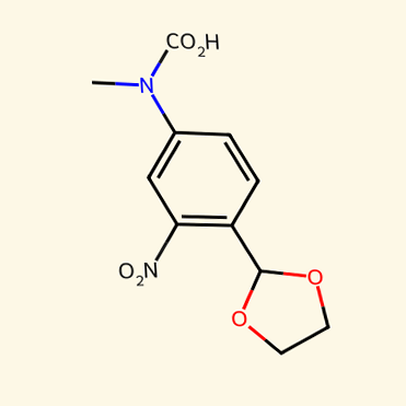 CN(C(=O)O)c1ccc(C2OCCO2)c([N+](=O)[O-])c1